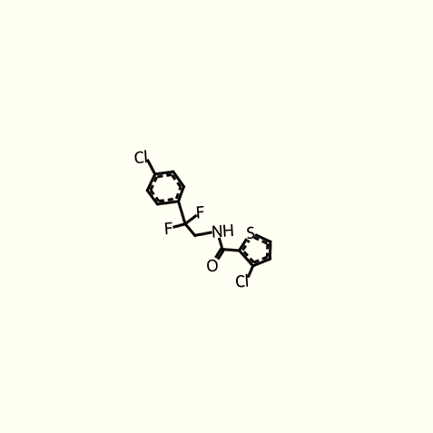 O=C(NCC(F)(F)c1ccc(Cl)cc1)c1sccc1Cl